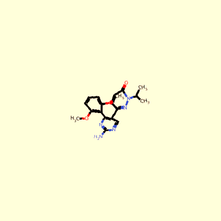 COc1cccc(OC)c1-c1nc(N)ncc1-c1ccc(=O)n(C(C)C)n1